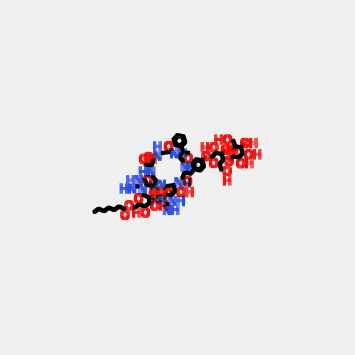 CCCCCCC(=O)OCC1OC(N2C(=N)NCC2C(O)C2NC(=O)C(C(O)C3CNC(=N)N3)NC(=O)C(Cc3ccc(OC4OC(CO)C(OC5OC(CO)C(O)C(O)C5O)C(O)C4O)cc3)NC(=O)C(C(C)c3ccccc3)NC(=O)CNC(=O)C(CO)NC2=O)C(O)C(O)C1O